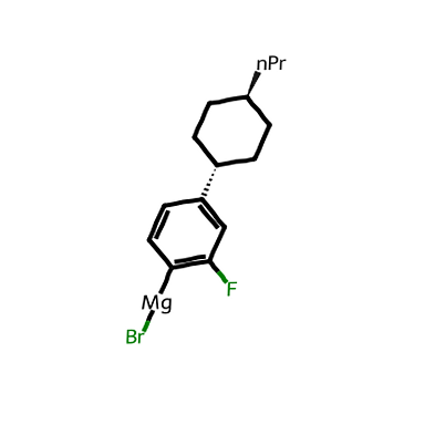 CCC[C@H]1CC[C@H](c2cc[c]([Mg][Br])c(F)c2)CC1